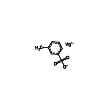 Cc1cccc(S(=O)(=O)[O-])c1.[Hg+]